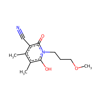 COCCCn1c(O)c(C)c(C)c(C#N)c1=O